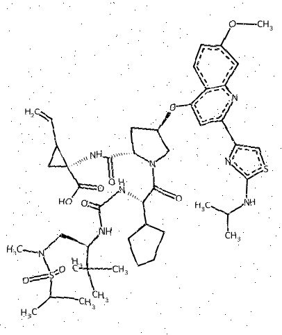 C=CC1C[C@]1(NC(=O)[C@@H]1C[C@@H](Oc2cc(-c3csc(NC(C)C)n3)nc3cc(OC)ccc23)CN1C(=O)[C@@H](NC(=O)N[C@H](CN(C)S(=O)(=O)C(C)C)C(C)(C)C)C1CCCC1)C(=O)O